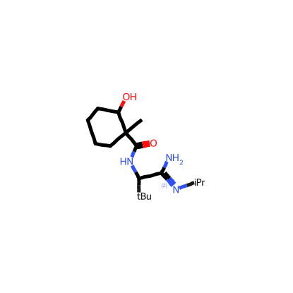 CC(C)/N=C(\N)C(NC(=O)C1(C)CCCCC1O)C(C)(C)C